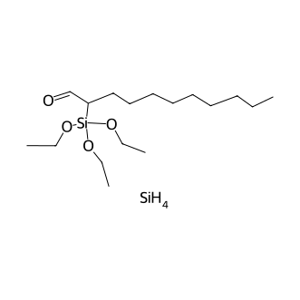 CCCCCCCCCC(C=O)[Si](OCC)(OCC)OCC.[SiH4]